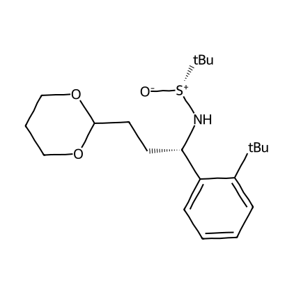 CC(C)(C)c1ccccc1[C@H](CCC1OCCCO1)N[S@+]([O-])C(C)(C)C